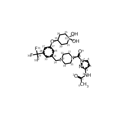 CC(=O)Nc1ccn(C(=O)N2CCN(Cc3cc(OC4CCS(O)(O)CC4)cc(C(F)(F)F)c3)CC2)n1